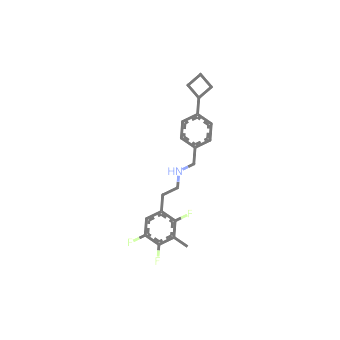 Cc1c(F)c(F)cc(CCNCc2ccc(C3CCC3)cc2)c1F